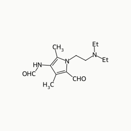 CCN(CC)CCn1c(C)c(NC=O)c(C)c1C=O